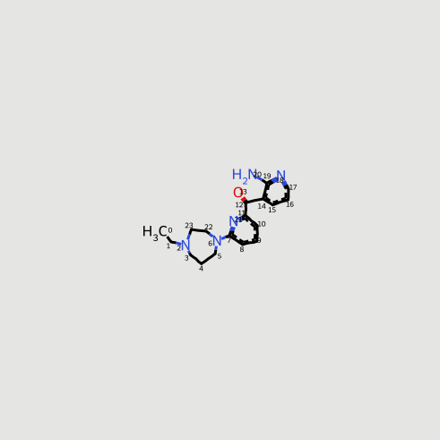 CCN1CCCN(c2cccc(C(=O)c3cccnc3N)n2)CC1